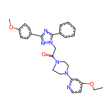 CCOc1ccnc(N2CCN(C(=O)Cn3nc(-c4ccc(OC)cc4)nc3-c3ccccc3)CC2)c1